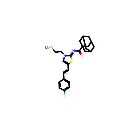 COCCn1cc(/C=C/c2ccc(F)cc2)s/c1=N\C(=O)C12CC3CC(CC(C3)C1)C2